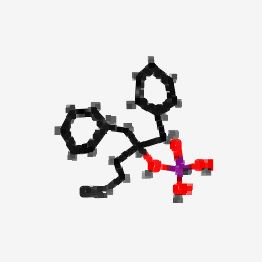 O=CCCC(Cc1ccccc1)(Cc1ccccc1)OP(=O)(O)O